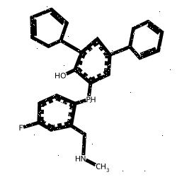 CNCc1cc(F)ccc1Pc1cc(C2C=CC=CC2)cc(C2C=CC=CC2)c1O